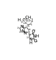 CC1(C)CCC=C(c2cc(-c3c[nH]c(=O)[nH]c3=O)nn3ccnc23)C1